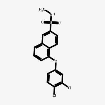 CNS(=O)(=O)c1ccc2c(Oc3ccc(Cl)c(Cl)c3)cccc2c1